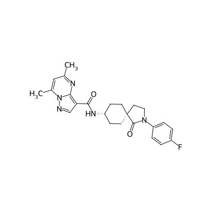 Cc1cc(C)n2ncc(C(=O)N[C@H]3CC[C@@]4(CCN(c5ccc(F)cc5)C4=O)CC3)c2n1